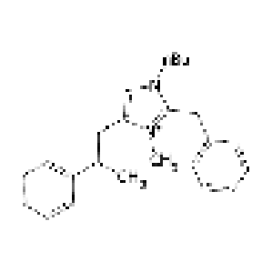 CCCCn1cc(CC(C)c2ccccc2)[n+](C)c1Cc1ccccc1